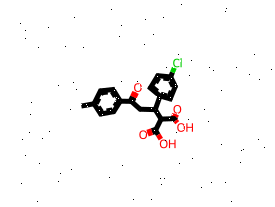 Cc1ccc(C(=O)CC(c2ccc(Cl)cc2)C(C(=O)O)C(=O)O)cc1